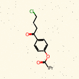 CC(C)C(=O)Oc1ccc(C(=O)CCCCl)cc1